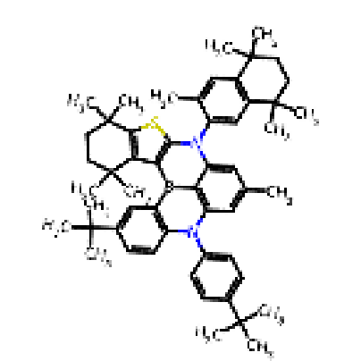 Cc1cc2c3c(c1)N(c1cc4c(cc1C)C(C)(C)CCC4(C)C)c1sc4c(c1B3c1cc(C(C)(C)C)ccc1N2c1ccc(C(C)(C)C)cc1)C(C)(C)CCC4(C)C